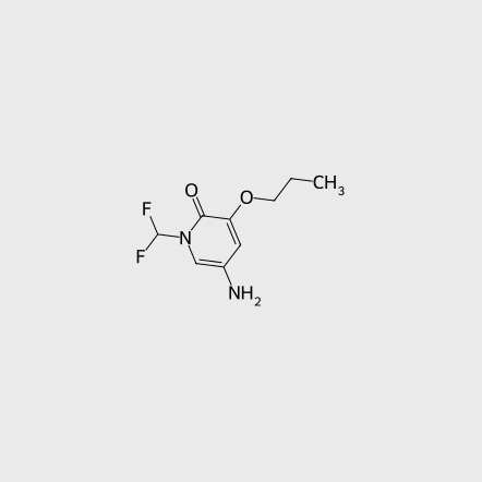 CCCOc1cc(N)cn(C(F)F)c1=O